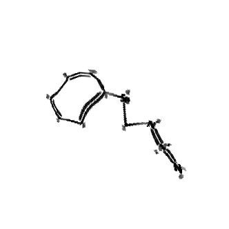 [N-]=[N+]=NC[Se]c1ccccc1